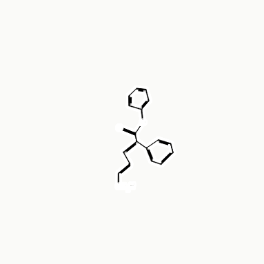 O=C(O)C=CC=C(C(=O)Oc1ccccc1)c1ccccc1